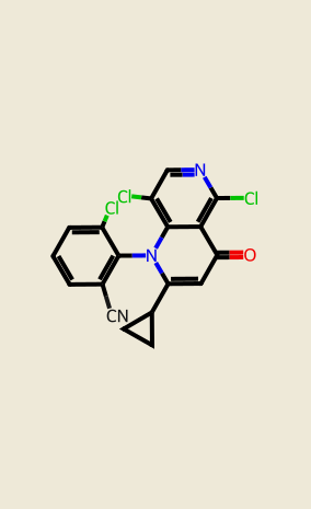 N#Cc1cccc(Cl)c1-n1c(C2CC2)cc(=O)c2c(Cl)ncc(Cl)c21